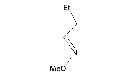 [CH2]CCC=NOC